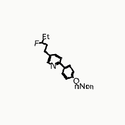 CCCCCCCCCOc1ccc(-c2ccc(CCC(F)CC)cn2)cc1